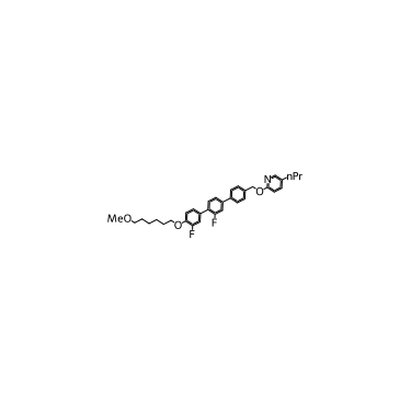 CCCc1ccc(OCc2ccc(-c3ccc(-c4ccc(OCCCCCCOC)c(F)c4)c(F)c3)cc2)nc1